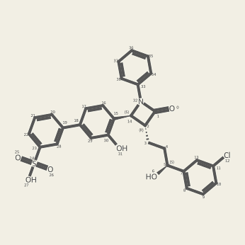 O=C1[C@H](CC[C@H](O)c2cccc(Cl)c2)[C@@H](c2ccc(-c3cccc(S(=O)(=O)O)c3)cc2O)N1c1ccccc1